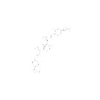 O=C(/C=C/c1ccc(O)cc1)c1cccc(C(=O)/C=C/c2ccc(O)cc2)n1